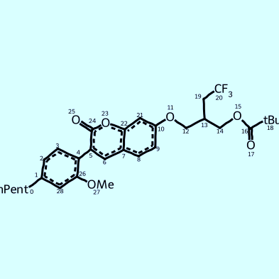 CCCCCc1ccc(-c2cc3ccc(OCC(COC(=O)C(C)(C)C)CC(F)(F)F)cc3oc2=O)c(OC)c1